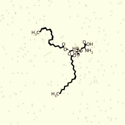 CC/C=C\C/C=C\C/C=C\C/C=C\CCCCC(=O)OC[C@H](COP(=O)(O)OC[C@H](N)C(=O)O)OC(=O)CCCCCCC/C=C\CCCCCCCCC